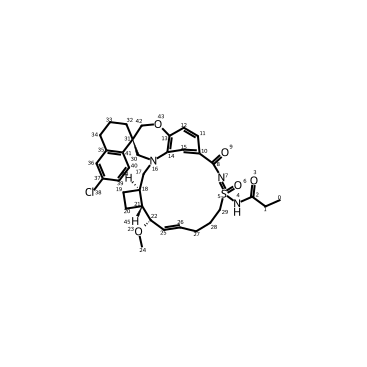 CCC(=O)NS1(=O)=NC(=O)c2ccc3c(c2)N(C[C@@H]2CC[C@H]2[C@@H](OC)/C=C/CCC1)C[C@@]1(CCCc2cc(Cl)ccc21)CO3